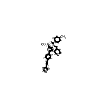 C[C@H]1CC[C@H](C(=O)N(CC2CCOCC2)c2cc(-c3ccc(C#Cc4cscn4)cc3)sc2C(=O)O)CC1